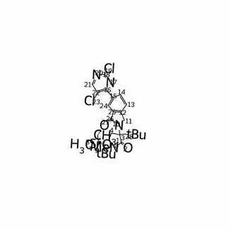 CNC(=O)C(CO[Si](C)(C)C(C)(C)C)(N1Cc2ccc(-c3nc(Cl)ncc3Cl)cc2C1=O)C(C)(C)C